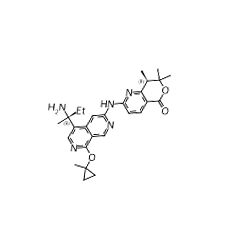 CC[C@@](C)(N)c1cnc(OC2(C)CC2)c2cnc(Nc3ccc4c(n3)[C@@H](C)C(C)(C)OC4=O)cc12